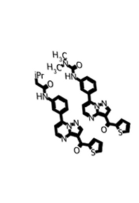 CC(C)CC(=O)Nc1cccc(-c2ccnc3c(C(=O)c4cccs4)cnn23)c1.CN(C)C(=O)Nc1cccc(-c2ccnc3c(C(=O)c4cccs4)cnn23)c1